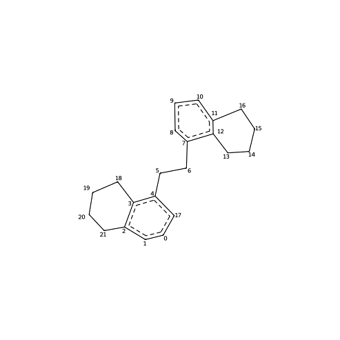 c1cc2c(c(CCc3cccc4c3CCCC4)c1)CCCC2